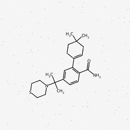 CC1(C)CC=C(c2cc(C(C)(C)N3CCSCC3)ccc2C(N)=O)CC1